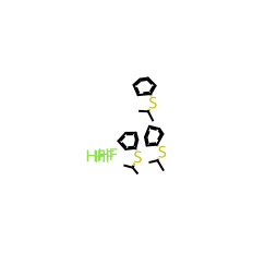 CC(C)Sc1ccccc1.CC(C)Sc1ccccc1.CC(C)Sc1ccccc1.F.F.F